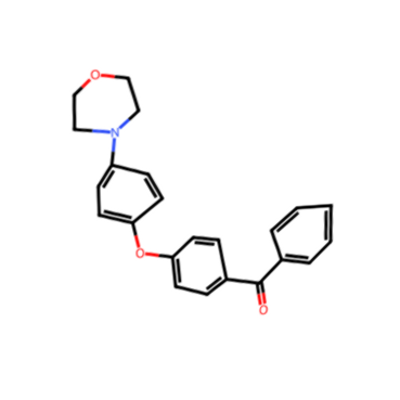 O=C(c1ccccc1)c1ccc(Oc2ccc(N3CCOCC3)cc2)cc1